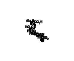 CC(C)CC(NC(=O)Cc1ccc(N/C(=C/[N+](=O)[O-])Nc2ccccc2)cc1)C(=O)NC(C/C=C/CC(NC(=O)CC(C)(C)C)C(=O)O)C(=O)O